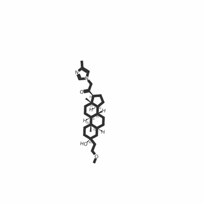 COCC[C@@]1(O)CC[C@@]2(C)[C@@H](CC[C@@H]3[C@@H]2CC[C@]2(C)[C@@H](C(=O)Cn4cnc(C)c4)CC[C@@H]32)C1